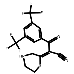 N#CC(C(=O)c1cc(C(F)(F)F)cc(C(F)(F)F)c1)=C1CNCCS1